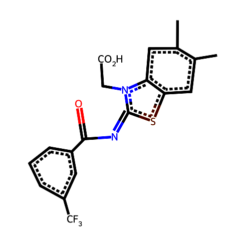 Cc1cc2sc(=NC(=O)c3cccc(C(F)(F)F)c3)n(CC(=O)O)c2cc1C